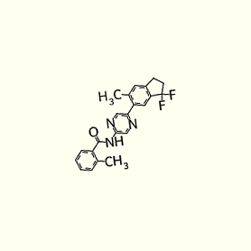 Cc1ccccc1C(=O)Nc1cnc(-c2cc3c(cc2C)CCC3(F)F)cn1